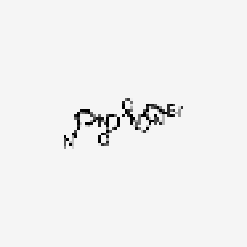 N#Cc1cccc(N2C[C@@H](C(=O)N3CCc4nc(Br)ccc43)CC2=O)c1